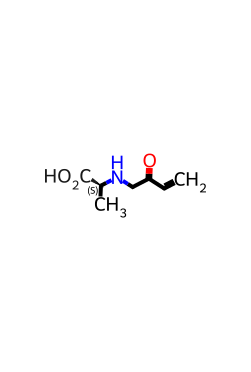 C=CC(=O)CN[C@@H](C)C(=O)O